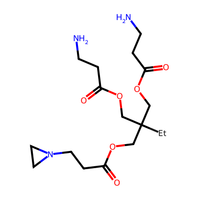 CCC(COC(=O)CCN)(COC(=O)CCN)COC(=O)CCN1CC1